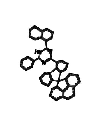 c1ccc(C2N=C(c3cccc4c3-c3ccccc3C43c4cccc5ccc6cccc3c6c45)N=C(c3cccc4ccccc34)N2)cc1